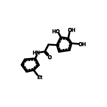 CCc1cccc(NC(=O)Cc2ccc(O)c(O)c2O)c1